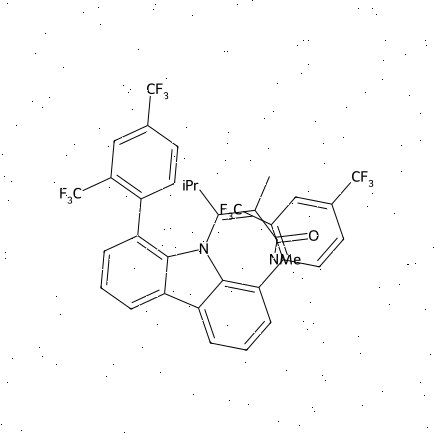 CNC(=O)/C(C)=C(/C(C)C)n1c2c(-c3ccc(C(F)(F)F)cc3C(F)(F)F)cccc2c2cccc(-c3ccc(C(F)(F)F)cc3C(F)(F)F)c21